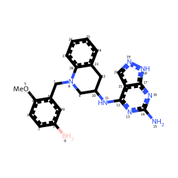 Bc1ccc(OC)c(CN2CC(Nc3nc(N)nc4[nH]ncc34)Cc3ccccc32)c1